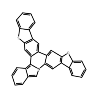 c1ccc2c(c1)cn1c3cc4c(cc3c3cc5c(cc3c21)sc1ccccc15)oc1ccccc14